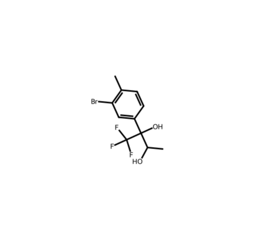 Cc1ccc(C(O)(C(C)O)C(F)(F)F)cc1Br